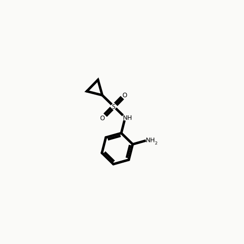 Nc1ccccc1NS(=O)(=O)C1CC1